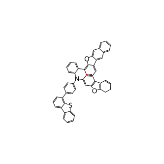 C1=Cc2c(oc3cc(N(c4ccc(-c5cccc6c5sc5ccccc56)cc4)c4ccccc4-c4cccc5c4oc4cc6ccccc6cc45)ccc23)CC1